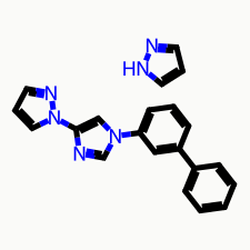 c1ccc(-c2cccc(-n3cnc(-n4cccn4)c3)c2)cc1.c1cn[nH]c1